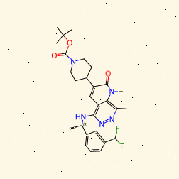 Cc1nnc(N[C@H](C)c2cccc(C(F)F)c2)c2cc(C3CCN(C(=O)OC(C)(C)C)CC3)c(=O)n(C)c12